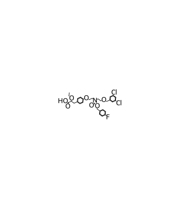 CCOC(Cc1ccc(OCCN(CCOCc2cc(Cl)cc(Cl)c2)C(=O)OCc2ccc(F)cc2)cc1)C(=O)O